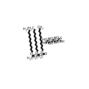 CCCCCCCCCCCCOC(C)=O.CCCCCCCCCCCCOC(C)=O.CCCCCCCCCCCCOC(C)=O.OP(O)(O)=S.OP(O)(O)=S.OP(O)(O)=S